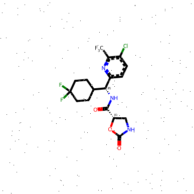 O=C1NC[C@@H](C(=O)N[C@@H](c2ccc(Cl)c(C(F)(F)F)n2)C2CCC(F)(F)CC2)O1